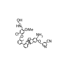 COc1cc(OCc2cccc(-c3cccc4c3cnn4Cc3cc(OCc4cncc(C#N)c4)c(CN)cc3Cl)c2C)c(Cl)cc1CNCCO